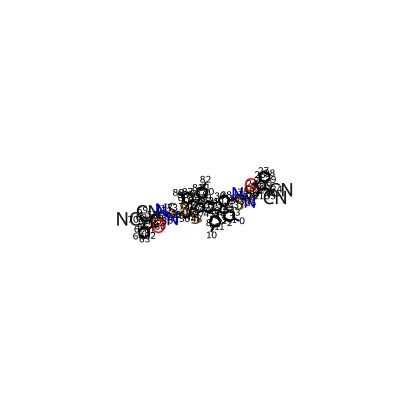 Cc1ccc(C2(c3ccc(C)cc3)c3cc(-c4nc5sc(/C=C6\C(=O)c7ccccc7C6=C(C#N)C#N)nc5s4)ccc3-c3cc4c(cc32)-c2sc3cc(-c5nc6sc(/C=C7\C(=O)c8ccccc8C7=C(C#N)C#N)nc6s5)sc3c2C4(c2ccc(C)cc2)c2ccc(C)cc2)cc1